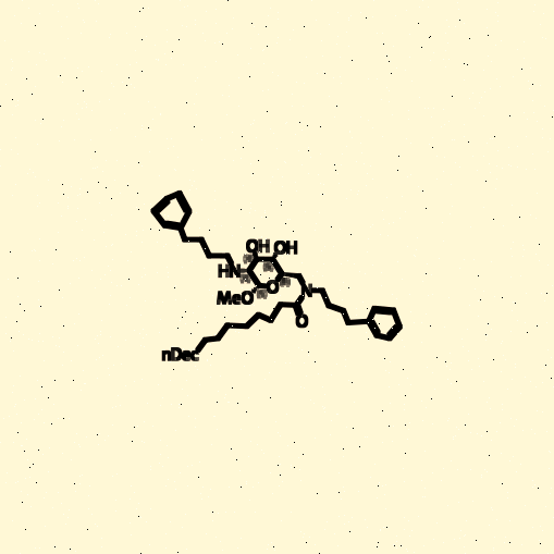 CCCCCCCCCCCCCCCCCC(=O)N(CCCCc1ccccc1)C[C@H]1O[C@H](OC)[C@H](NCCCCc2ccccc2)[C@@H](O)[C@@H]1O